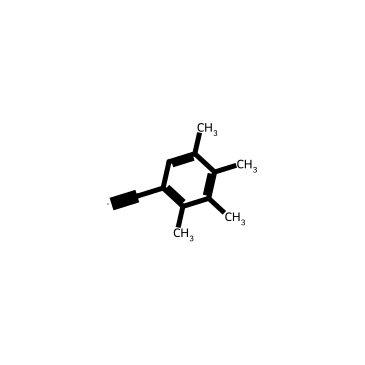 [C]#Cc1cc(C)c(C)c(C)c1C